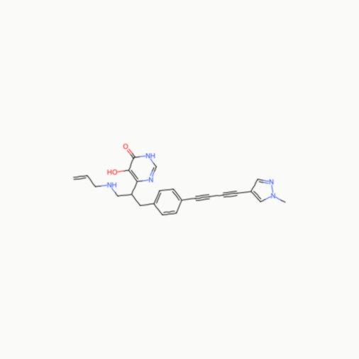 C=CCNCC(Cc1ccc(C#CC#Cc2cnn(C)c2)cc1)c1nc[nH]c(=O)c1O